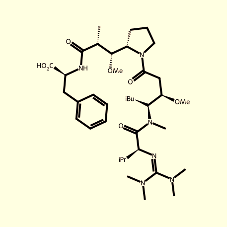 CC[C@H](C)[C@@H]([C@@H](CC(=O)N1CCC[C@H]1[C@H](OC)[C@@H](C)C(=O)N[C@@H](Cc1ccccc1)C(=O)O)OC)N(C)C(=O)[C@@H](N=C(N(C)C)N(C)C)C(C)C